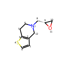 c1cc2c(s1)CCN(C[C@@H]1CO1)C2